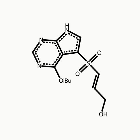 CC(C)COc1ncnc2[nH]cc(S(=O)(=O)C=CCO)c12